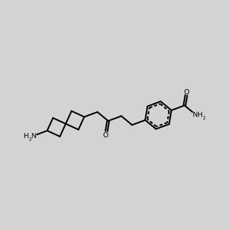 NC(=O)c1ccc(CCC(=O)CC2CC3(CC(N)C3)C2)cc1